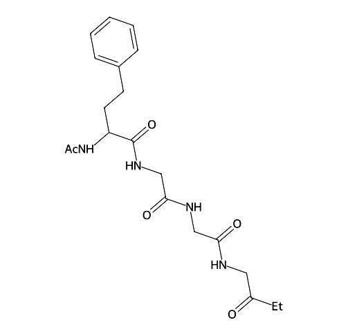 CCC(=O)CNC(=O)CNC(=O)CNC(=O)C(CCc1ccccc1)NC(C)=O